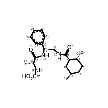 CC(C)[C@@H]1CC[C@@H](C)C[C@H]1C(=O)NC[C@@H](NC(=O)[C@@H](C)NC(=O)O)c1ccccc1